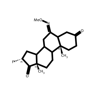 CON=C1CC2C(CC[C@]3(C)C(=O)[C@H](F)CC23)[C@@]2(C)CCC(=O)CC12